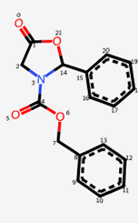 O=C1CN(C(=O)OCc2ccccc2)C(c2ccccc2)O1